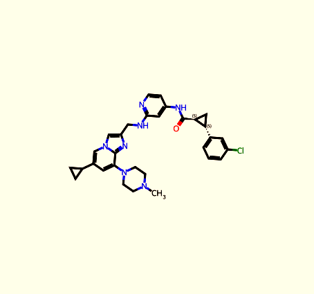 CN1CCN(c2cc(C3CC3)cn3cc(CNc4cc(NC(=O)[C@H]5C[C@@H]5c5cccc(Cl)c5)ccn4)nc23)CC1